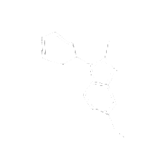 N#Cc1ccc2c(c1)nc(I)n2C1C=CC=CC1